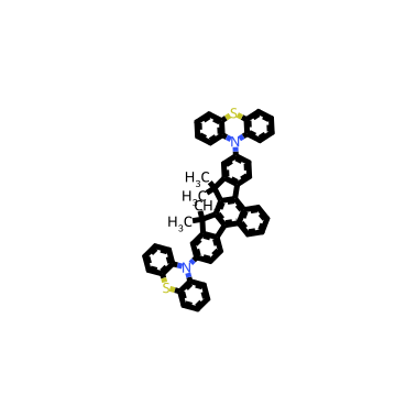 CC1(C)c2cc(N3c4ccccc4Sc4ccccc43)ccc2-c2c1c1c(c3ccccc23)-c2ccc(N3c4ccccc4Sc4ccccc43)cc2C1(C)C